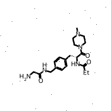 CCC(=O)N[C@H](Cc1ccc(CNC(=O)CN)cc1)C(=O)N1CCN(C)CC1